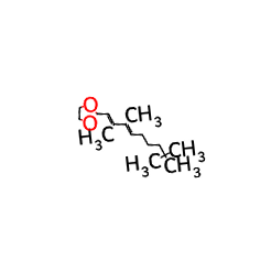 CC(=C\CCCC(C)(C)C)/C(C)=C/C1OCCO1